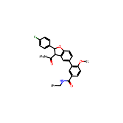 CCOc1ccc(C(=O)NCC(C)C)cc1-c1ccc2c(c1)C(C(=O)NC)C(c1ccc(F)cc1)O2